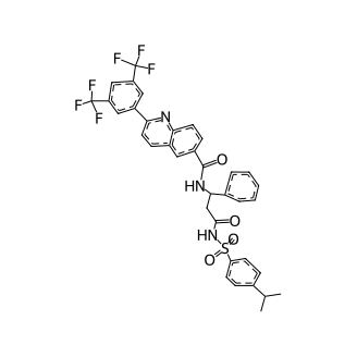 CC(C)c1ccc(S(=O)(=O)NC(=O)CC(NC(=O)c2ccc3nc(-c4cc(C(F)(F)F)cc(C(F)(F)F)c4)ccc3c2)c2ccccc2)cc1